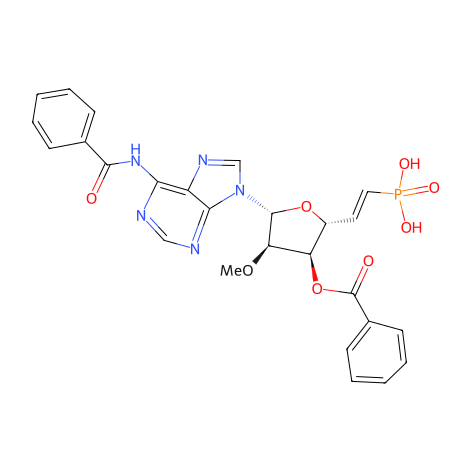 CO[C@@H]1[C@H](OC(=O)c2ccccc2)[C@@H](/C=C/P(=O)(O)O)O[C@H]1n1cnc2c(NC(=O)c3ccccc3)ncnc21